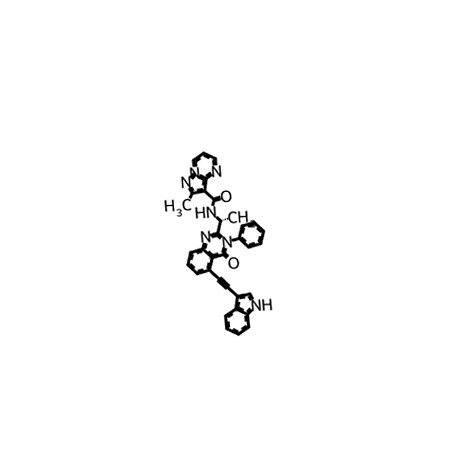 Cc1nn2cccnc2c1C(=O)N[C@H](C)c1nc2cccc(C#Cc3c[nH]c4ccccc34)c2c(=O)n1-c1ccccc1